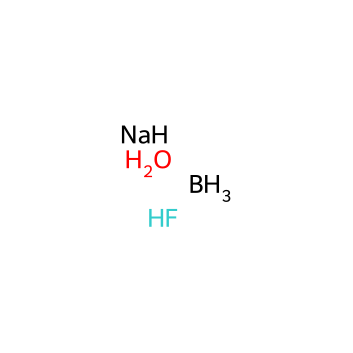 B.F.O.[NaH]